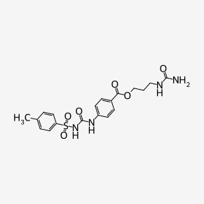 Cc1ccc(S(=O)(=O)NC(=O)Nc2ccc(C(=O)OCCCNC(N)=O)cc2)cc1